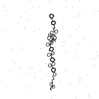 C=CC(=O)OCCCCOc1ccc(C(=O)Oc2ccc(C(=O)Oc3ccc(C(=O)O[C@H]4CO[C@H]5[C@@H]4OC[C@H]5OC(=O)/C=C/c4ccc(-c5ccccc5)cc4)cc3)cc2)cc1